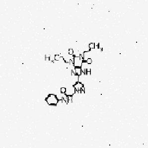 CCCn1c(=O)c2[nH]c(-c3cnn(CC(=O)Nc4ccccc4)c3)nc2n(CCC)c1=O